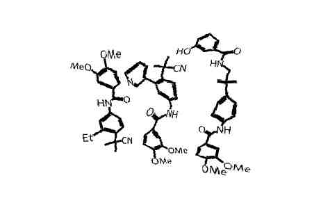 CCc1cc(NC(=O)c2ccc(OC)c(OC)c2)ccc1C(C)(C)C#N.COc1ccc(C(=O)Nc2ccc(C(C)(C)C#N)c(-c3cccnc3)c2)cc1OC.COc1ccc(C(=O)Nc2ccc(C(C)(C)CNC(=O)c3cccc(O)c3)cc2)cc1OC